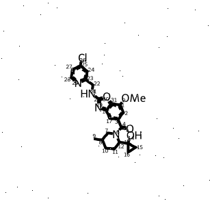 COc1cc(C(=O)N2CC(C)CCC2C2(O)CC2)cc2nc(NCc3cc(Cl)ccn3)oc12